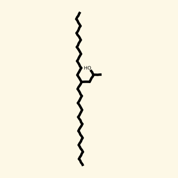 CCCCCCCCCCCCC(CCCCCCCCCC)CC(C)O